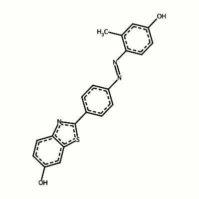 Cc1cc(O)ccc1/N=N/c1ccc(-c2nc3ccc(O)cc3s2)cc1